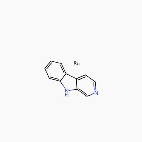 [Ru].c1ccc2c(c1)[nH]c1cnccc12